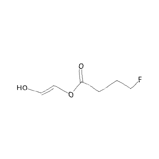 O=C(CCCF)OC=CO